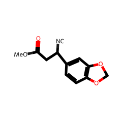 [C-]#[N+]C(CC(=O)OC)c1ccc2c(c1)OCO2